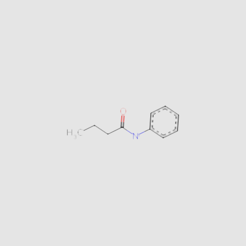 CCCC(=O)[N]c1ccccc1